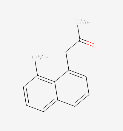 COC(=O)Cc1cccc2cccc(OC)c12